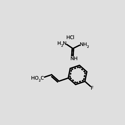 Cl.N=C(N)N.O=C(O)/C=C/c1cccc(F)c1